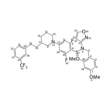 COc1ccc(CN(Sc2c(F)cc(N3CCCC(CCc4cccc(C(F)(F)F)c4)C3)cc2F)c2ccon2)c(OC)c1